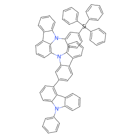 c1ccc(-n2c3ccccc3c3c(-c4ccc5c6ccccc6n(-c6cccc7c8ccccc8n(-c8cccc([Si](c9ccccc9)(c9ccccc9)c9ccccc9)c8)c67)c5c4)cccc32)cc1